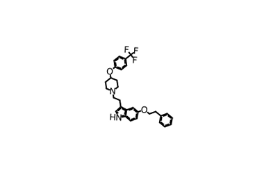 FC(F)(F)c1ccc(OC2CCN(CCc3c[nH]c4ccc(OCCc5ccccc5)cc34)CC2)cc1